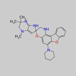 CN1CC(C)(C)N=C2NC3(C=C21)CNc1c(cc(N2CCCCC2)c2oc4ccccc4c12)O3